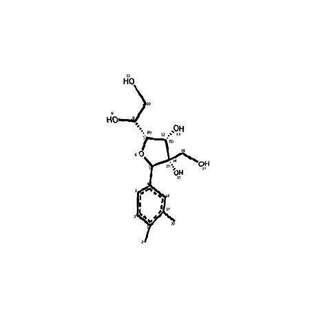 Cc1ccc(C2O[C@H](C(O)CO)[C@H](O)[C@@]2(O)CO)cc1C